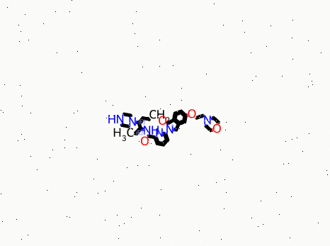 C=C/C=C(\C(=C/C)NC(=O)c1cccc(N2Cc3cc(OCCN4CCOCC4)ccc3C2=O)n1)N1CCNCC1